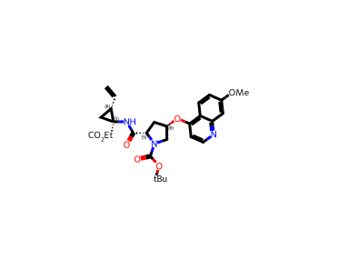 C=C[C@H]1C[C@@]1(NC(=O)[C@@H]1C[C@@H](Oc2ccnc3cc(OC)ccc23)CN1C(=O)OC(C)(C)C)C(=O)OCC